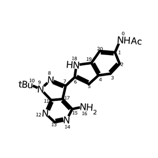 CC(=O)Nc1ccc2cc(-c3nn(C(C)(C)C)c4ncnc(N)c34)[nH]c2c1